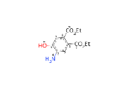 CCOC(=O)c1cc(N)c(O)cc1C(=O)OCC